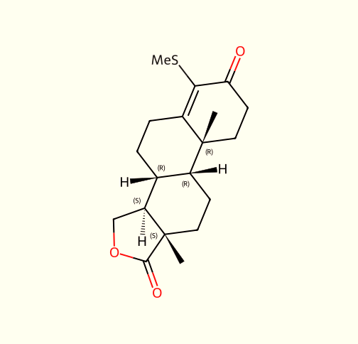 CSC1=C2CC[C@@H]3[C@@H](CC[C@]4(C)C(=O)OC[C@@H]34)[C@@]2(C)CCC1=O